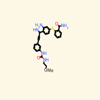 COCCNC(=O)Nc1cccc(C#CC(=N)c2ccc(Sc3ccccc3C(N)=O)cc2N)c1